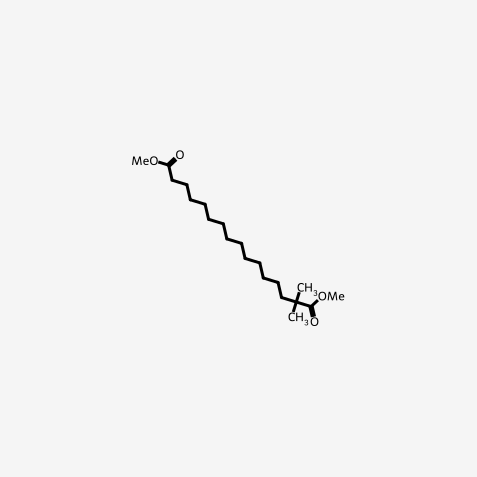 COC(=O)CCCCCCCCCCCCCC(C)(C)C(=O)OC